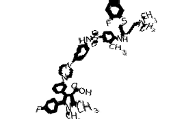 Cc1cc(S(=O)(=O)Nc2ccc(N3CCN(c4cccc(-c5c(C(=O)O)c(C)n(C)c5-c5ccc(F)cc5)c4)CC3)cc2)ccc1N[C@H](CCN(C)C)CSc1ccccc1F